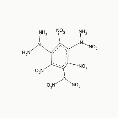 NN(N)c1c([N+](=O)[O-])c(N(N)[N+](=O)[O-])c([N+](=O)[O-])c(N([N+](=O)[O-])[N+](=O)[O-])c1[N+](=O)[O-]